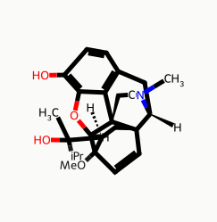 COC12C=C[C@@]3(C[C@@H]1C(C)(O)C(C)C)[C@H]1Cc4ccc(O)c5c4[C@@]3(CCN1C)[C@H]2O5